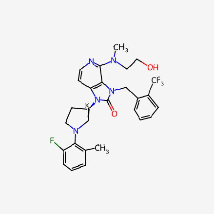 Cc1cccc(F)c1N1CC[C@@H](n2c(=O)n(Cc3ccccc3C(F)(F)F)c3c(N(C)CCO)nccc32)C1